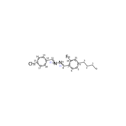 CCCCc1ccc(/C=N/N=C/c2ccc(Cl)cc2)c(F)c1